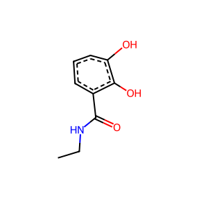 CCNC(=O)c1cccc(O)c1O